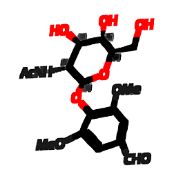 COc1cc(C=O)cc(OC)c1O[C@@H]1O[C@H](CO)[C@@H](O)[C@H](O)[C@H]1NC(C)=O